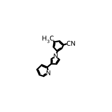 Cc1cc(C#N)cc(-n2ccc(-c3ccccn3)c2)c1